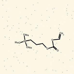 C=COC(=O)OCCC[Si](OC)(OC)OC